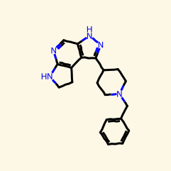 c1ccc(CN2CCC(c3n[nH]c4cnc5c(c34)CCN5)CC2)cc1